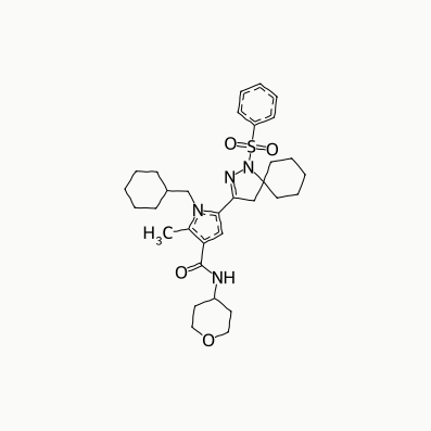 Cc1c(C(=O)NC2CCOCC2)cc(C2=NN(S(=O)(=O)c3ccccc3)C3(CCCCC3)C2)n1CC1CCCCC1